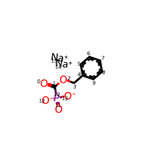 O=C(OCc1ccccc1)P(=O)([O-])[O-].[Na+].[Na+]